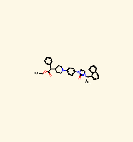 CCOC(=O)C(c1ccccc1)C1CCN(c2ccc(-n3ccn([C@H](C)c4cccc5ccccc45)c3=O)cc2)CC1